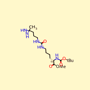 COC(=O)[C@H](CCCCNC(=O)NCCCC1(C)NN1)NC(=O)OC(C)(C)C